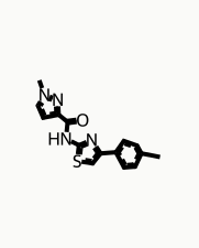 Cc1ccc(-c2csc(NC(=O)c3ccn(C)n3)n2)cc1